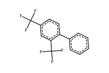 FC(F)(F)c1ccc(-c2ccccc2)c(C(F)(F)F)c1